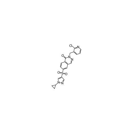 O=c1c2ccc(S(=O)(=O)c3cnn(C4CC4)c3)cc2cnn1Cc1cccnc1Cl